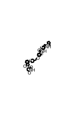 CN1CCC[C@@H]1c1cc2cnc(NC(=O)c3ccc(OCCC4CCN(c5cccc6c5CN(C5CCC(=O)NC5=O)C6=O)CC4)cc3F)cc2[nH]1